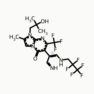 Cc1cn2c(=O)c(/C(C=N)=C/NCC(F)(F)C(F)(F)F)c(C(F)(F)F)nc2n1CC(C)(C)O